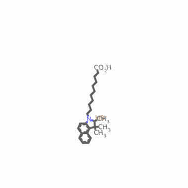 Br.CC1N(CCCCCCCCCCC(=O)O)c2ccc3ccccc3c2C1(C)C